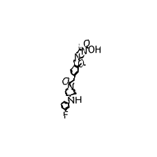 COc1cc(CC(=O)N2CCC(Nc3cccc(F)c3)CC2)ccc1CN1CCN(C(=O)O)[C@@H](C)C1